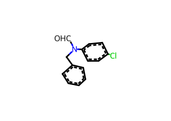 O=CN(Cc1ccccc1)c1ccc(Cl)cc1